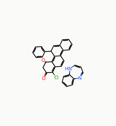 C1=CNc2ccccc2N=C1.O=C1CC(=O)c2c3c(ccc2=C1Cl)=c1ccccc1=CC3c1ccccc1